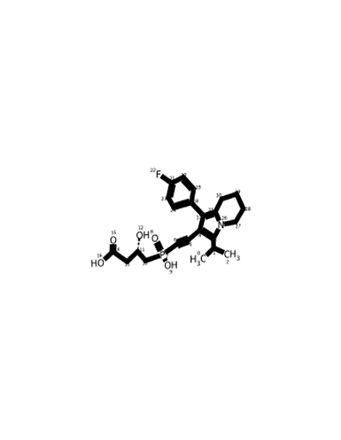 CC(C)c1c(C#CP(=O)(O)C[C@@H](O)CC(=O)O)c(-c2ccc(F)cc2)c2n1CCCC2